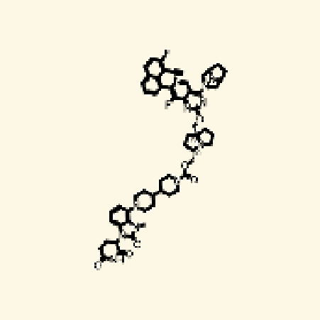 C#Cc1c(F)ccc2cccc(-c3ncc4c(N5CC6CCC(C5)N6)nc(OC[C@@]56CCCN5[C@H](COC(=O)N5CCC(C7CCN(c8cccc9c8n(C)c(=O)n9C8CCC(=O)NC8=O)CC7)CC5)CC6)nc4c3F)c12